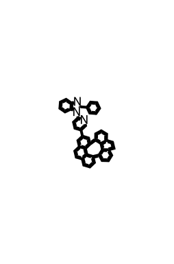 c1ccc(-c2nc3ccccc3n2-c2ccc(-c3cc4ccc5cccc6c7cccc8ccc9cccc(c(c3)c4c56)c9c87)cn2)cc1